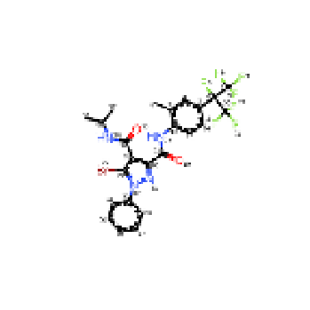 Cc1cc(C(F)(C(F)(F)F)C(F)(F)F)ccc1NC(=O)c1nn(-c2ccccc2)c(Br)c1C(=O)NC(C)C